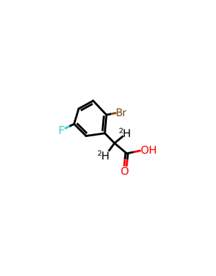 [2H]C([2H])(C(=O)O)c1cc(F)ccc1Br